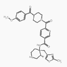 COc1ccc(C(=O)C2CCN(C(=O)c3ccc(C(=O)N[C@@]4(Cc5csc(C)n5)CCNC[C@@H]4F)cn3)CC2)cc1